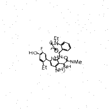 CCc1cc(O)c(F)cc1-c1cc(N)c(C(=N)C(=O)NC)c(NCc2ccccc2N(CC)S(C)(=O)=O)n1